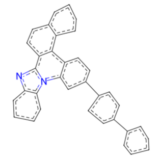 c1ccc(-c2ccc(-c3ccc4c5c6ccccc6ccc5c5nc6ccccc6n5c4c3)cc2)cc1